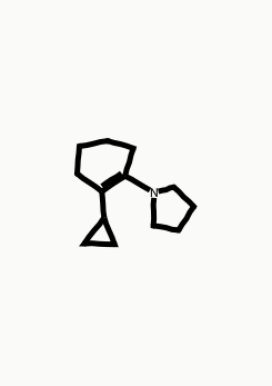 C1CCC(N2CCCC2)=C(C2CC2)C1